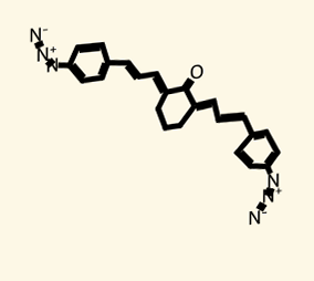 [N-]=[N+]=Nc1ccc(C=CC=C2CCCC(=CC=Cc3ccc(N=[N+]=[N-])cc3)C2=O)cc1